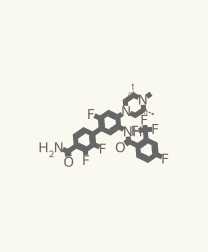 C[C@@H]1CN(c2cc(F)c(-c3ccc(C(N)=O)c(F)c3F)cc2NC(=O)c2ccc(F)cc2C(F)(F)F)C[C@H](C)N1C